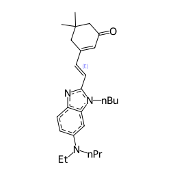 CCCCn1c(/C=C/C2=CC(=O)CC(C)(C)C2)nc2ccc(N(CC)CCC)cc21